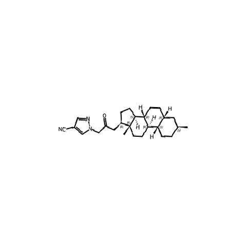 C[C@H]1CC[C@H]2[C@H](CC[C@@H]3[C@@H]2CC[C@]2(C)[C@@H](CC(=O)Cn4cc(C#N)cn4)CC[C@@H]32)C1